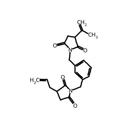 C=CCC1CC(=O)N(Cc2cccc(CN3C(=O)CC(C(=C)C)C3=O)c2)C1=O